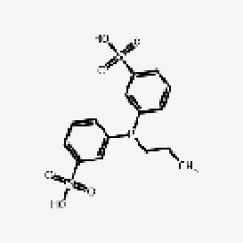 CCCP(c1cccc(S(=O)(=O)O)c1)c1cccc(S(=O)(=O)O)c1